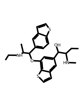 CCNC(C)C(Oc1cc(C(O)C(CC)NC)cc2ccsc12)c1ccc2sccc2c1